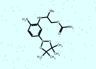 CC(C)(C)C(COC(N)=O)Nc1cc(B2OC(C)(C)C(C)(C)O2)ccc1N